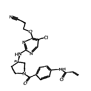 C=CC(=O)Nc1ccc(C(=O)N2CC[C@@H](Nc3ncc(Cl)c(OCCC#N)n3)C2)cc1